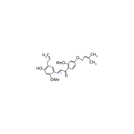 C=CCc1cc(/C=C/C(=O)c2ccc(OCC=C(C)C)cc2OC)c(OC)cc1O